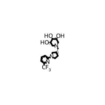 OC1[C@H](O)CN(C[C@@H]2CCN(c3cccc(C(F)(F)F)n3)C2)C[C@@H]1O